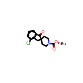 CC(C)(C)OC(=O)N1CCC2(CC1)Cc1c(Cl)cccc1C2=O